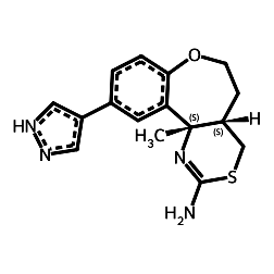 C[C@]12N=C(N)SC[C@H]1CCOc1ccc(-c3cn[nH]c3)cc12